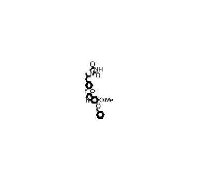 COc1cc2c(Oc3ccc(CC(C)CN4CC(=O)NC4=O)cc3F)ccnc2cc1OCc1ccccc1